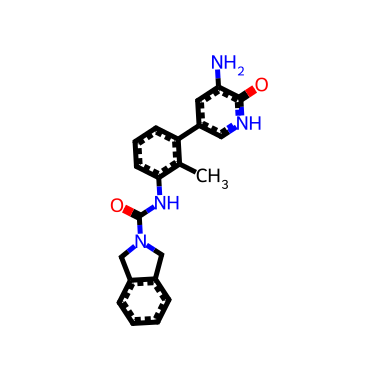 Cc1c(NC(=O)N2Cc3ccccc3C2)cccc1-c1c[nH]c(=O)c(N)c1